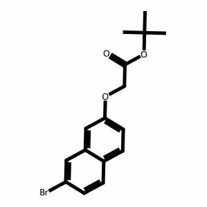 CC(C)(C)OC(=O)COc1ccc2ccc(Br)cc2c1